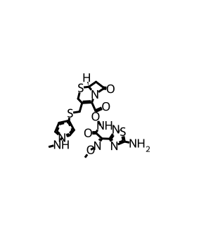 CN[n+]1ccc(SCC2=C(C(=O)ONC(=O)/C(=N\OC)c3nsc(N)n3)N3C(=O)C[C@@H]3SC2)cc1